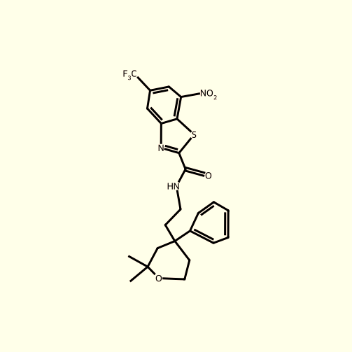 CC1(C)CC(CCNC(=O)c2nc3cc(C(F)(F)F)cc([N+](=O)[O-])c3s2)(c2ccccc2)CCO1